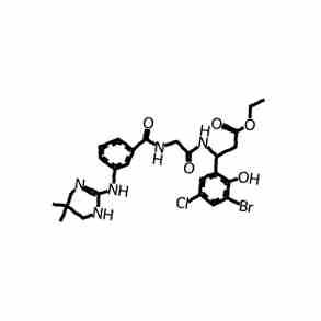 CCOC(=O)CC(NC(=O)CNC(=O)c1cccc(NC2=NCC(C)(C)CN2)c1)c1cc(Cl)cc(Br)c1O